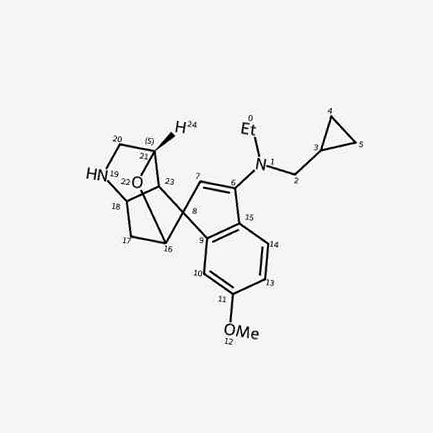 CCN(CC1CC1)C1=CC2(c3cc(OC)ccc31)C1CC3NC[C@@H](O1)C32